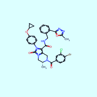 Cc1nnc(-c2ccccc2CNC(=O)c2c3n(c(=O)n2-c2ccc(OC4CC4)cc2)C[C@@H](C)N(C(=O)c2ccc(Br)c(Cl)c2)C3)o1